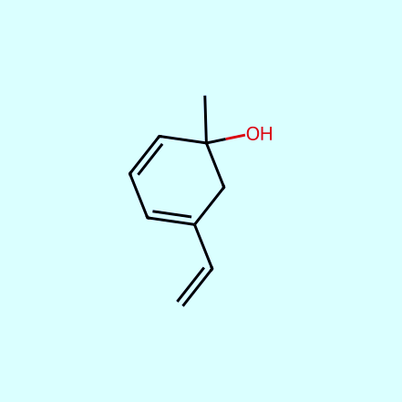 C=CC1=CC=CC(C)(O)C1